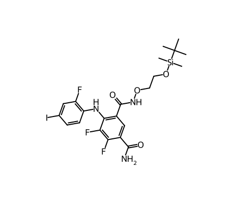 CC(C)(C)[Si](C)(C)OCCONC(=O)c1cc(C(N)=O)c(F)c(F)c1Nc1ccc(I)cc1F